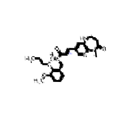 CCCOc1c(CN(C)C(=O)/C=C/c2cnc3c(c2)NCCC(=O)N3)cccc1OC